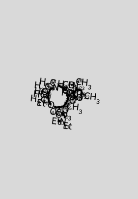 CC[C@H]1OC(=O)[C@H](C)[C@@H](OC(=O)CN(CC)CC)[C@H](C)[C@@H](O[C@@H]2O[C@H](C)C[C@H](N(C)C)[C@@H]2O)[C@](C)(O)C[C@@H](C)CN(C)[C@H](C)[C@@H](O)[C@]1(C)O